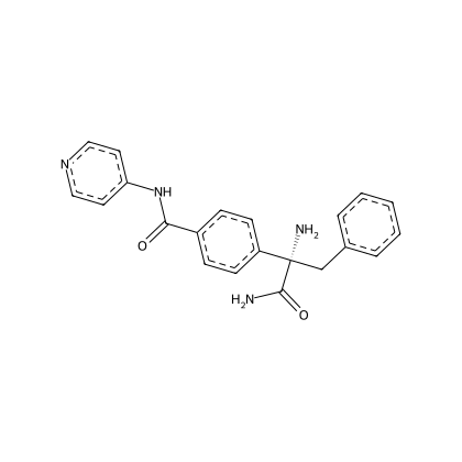 NC(=O)[C@](N)(Cc1ccccc1)c1ccc(C(=O)Nc2ccncc2)cc1